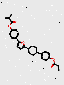 C=CC(=O)Oc1ccc(C2CCC(c3ccc(-c4ccc(OC(=O)C(=C)C)cc4)o3)CC2)cc1